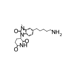 Cn1c(=O)n(C2CCC(=O)NC2=O)c2ccc(CCCCCN)cc21